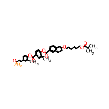 C=C(C)C(=O)OCCCCCCOc1ccc2cc(C(=O)Oc3ccc(C(=O)Oc4ccc(/C=C/C(=O)P)cc4C)cc3C)ccc2c1